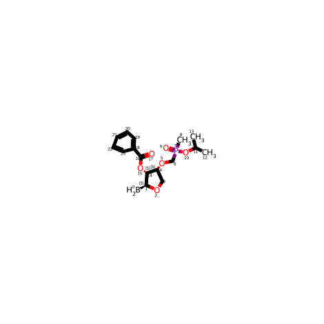 B[C@@H]1OC[C@H](OCP(C)(=O)OC(C)C)[C@H]1OC(=O)c1ccccc1